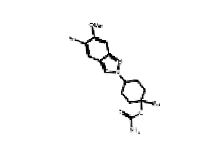 COc1cc2nn(C3CCC(OC(N)=O)(C(C)(C)C)CC3)cc2cc1Br